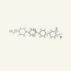 CC1CCC(c2cnc(-c3ccc(-c4ccc(CF)c(F)c4)cc3)nc2)CC1